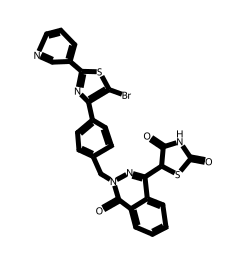 O=C1NC(=O)C(c2nn(Cc3ccc(-c4nc(-c5cccnc5)sc4Br)cc3)c(=O)c3ccccc23)S1